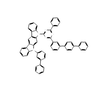 c1ccc(-c2ccc(-c3cccc(-c4nc(-c5ccccc5)nc(-n5c6ccccc6c6cc7c8ccccc8n(-c8cccc(-c9ccccc9)c8)c7cc65)n4)c3)cc2)cc1